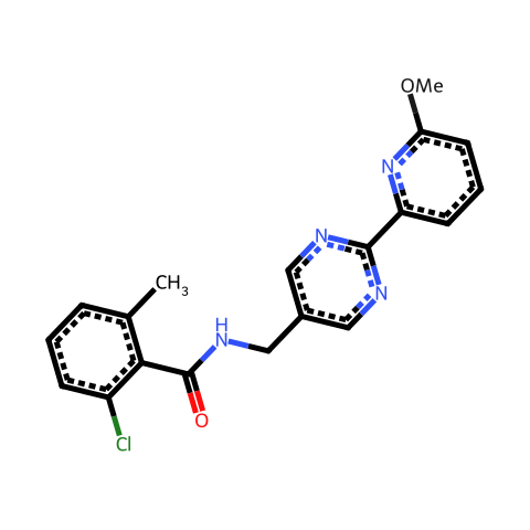 COc1cccc(-c2ncc(CNC(=O)c3c(C)cccc3Cl)cn2)n1